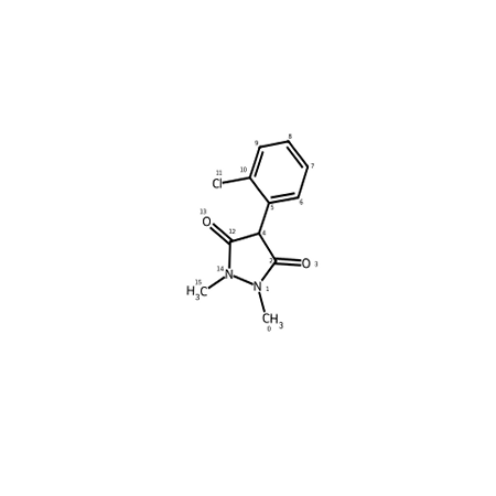 CN1C(=O)C(c2ccccc2Cl)C(=O)N1C